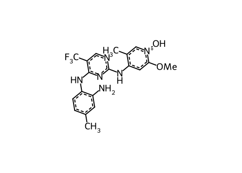 COc1cc(Nc2ncc(C(F)(F)F)c(Nc3ccc(C)cc3N)n2)c(C)c[n+]1O